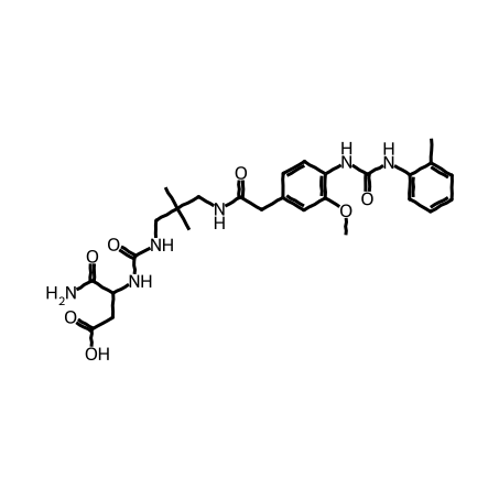 COc1cc(CC(=O)NCC(C)(C)CNC(=O)NC(CC(=O)O)C(N)=O)ccc1NC(=O)Nc1ccccc1C